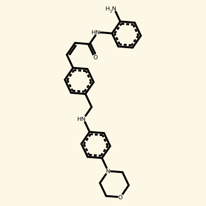 Nc1ccccc1NC(=O)/C=C\c1ccc(CNc2ccc(N3CCOCC3)cc2)cc1